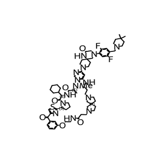 CN[C@@H](C)C(=O)N[C@H](C(=O)N1CCC[C@H]1c1nc(C(=O)c2cccc(OCCNC(=O)CCN3CC[C@@]4(CCN(CCCNc5cc(N6CCC7(CC6)CN(c6cc(F)c(CN8CCC(C)(C)CC8)cc6F)CC(=O)N7)ncn5)C4)C3)c2)cs1)C1CCCCC1